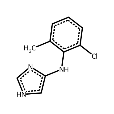 Cc1cccc(Cl)c1Nc1c[nH]cn1